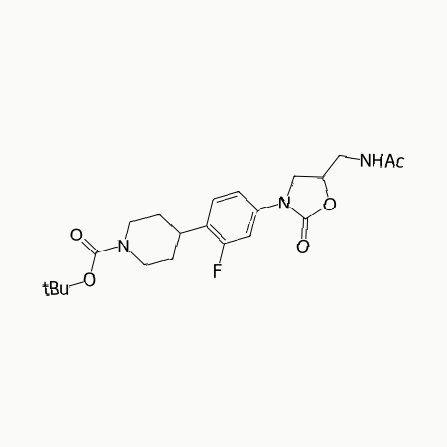 CC(=O)NCC1CN(c2ccc(C3CCN(C(=O)OC(C)(C)C)CC3)c(F)c2)C(=O)O1